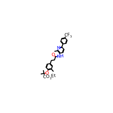 CCOC(=O)C(C)(C)Oc1ccc(CCC(=O)Nc2ccc(-c3ccc(C(F)(F)F)cc3)nc2C)cc1C